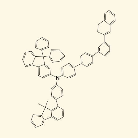 CC1(C)c2ccccc2-c2cccc(-c3ccc(N(c4ccc(-c5ccc(-c6cccc(-c7ccc8ccccc8c7)c6)cc5)cc4)c4ccc5c(c4)C(c4ccccc4)(c4ccccc4)c4ccccc4-5)cc3)c21